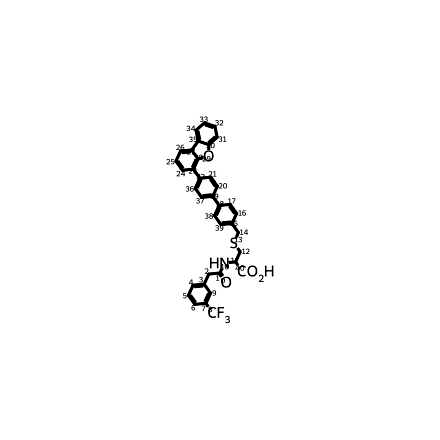 O=C(Cc1cccc(C(F)(F)F)c1)NC(CSCc1ccc(-c2ccc(-c3cccc4c3oc3ccccc34)cc2)cc1)C(=O)O